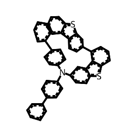 c1ccc(-c2ccc(N(c3ccc(-c4ccccc4)cc3)c3ccc4sc5cccc(-c6ccc7c(c6)sc6ccccc67)c5c4c3)cc2)cc1